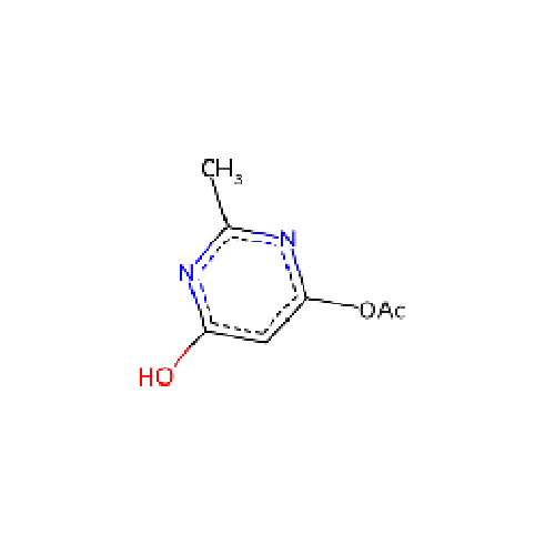 CC(=O)Oc1cc(O)nc(C)n1